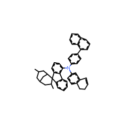 CC1CC2CC(C)C3(c4ccccc4-c4c(N(c5ccc(-c6cccc7ccccc67)cc5)c5ccc6c(c5)C=CCC6)cccc43)C(C1)C2